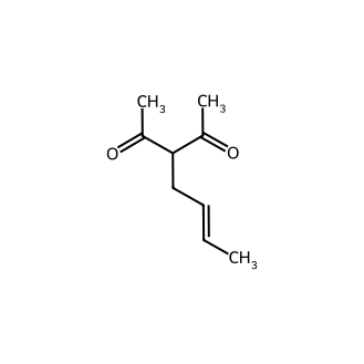 C/C=C/CC(C(C)=O)C(C)=O